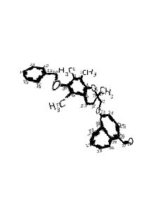 Cc1c(C)c2c(c(C)c1OCc1ccccc1)CCC(C)(COc1ccc(C=O)c3ccccc13)O2